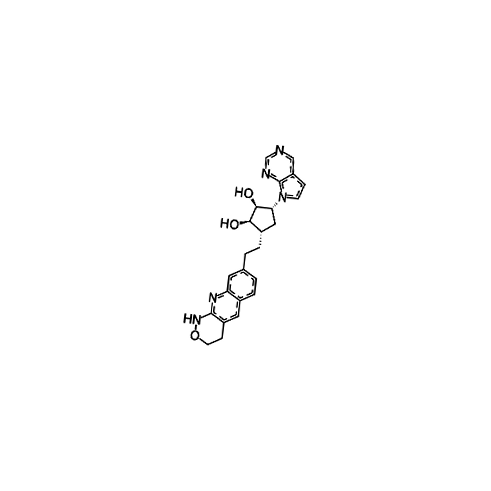 O[C@@H]1[C@@H](CCc2ccc3cc4c(nc3c2)NOCC4)C[C@@H](n2ccc3cncnc32)[C@@H]1O